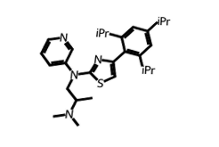 CC(C)c1cc(C(C)C)c(-c2csc(N(CC(C)N(C)C)c3cccnc3)n2)c(C(C)C)c1